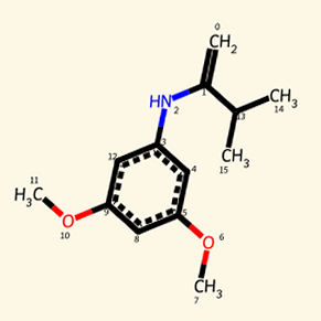 C=C(Nc1cc(OC)cc(OC)c1)C(C)C